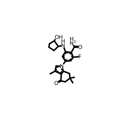 Cc1cn(-c2cc(F)c(C(N)=O)c(NC3CCCC3O)c2)c2c1C(=O)CC(C)(C)C2